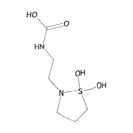 O=C(O)NCCN1CCCS1(O)O